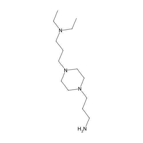 CCN(CC)CCCN1CCN(CCCN)CC1